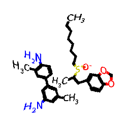 CCCCCCCC[S+]([O-])C(C)Cc1ccc2c(c1)OCO2.Cc1cc(N)cc(-c2ccc(N)c(C)c2)c1